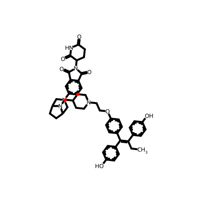 CCC(=C(c1ccc(O)cc1)c1ccc(OCCN2CCC(CN3C4CCC3CN(c3ccc5c(c3)C(=O)N(C3CCC(=O)NC3=O)C5=O)C4)CC2)cc1)c1ccc(O)cc1